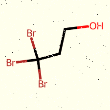 OCCC(Br)(Br)Br